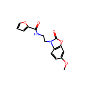 COc1ccc2c(c1)oc(=O)n2CCNC(=O)c1ccco1